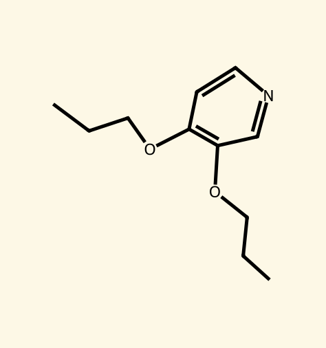 CCCOc1ccncc1OCCC